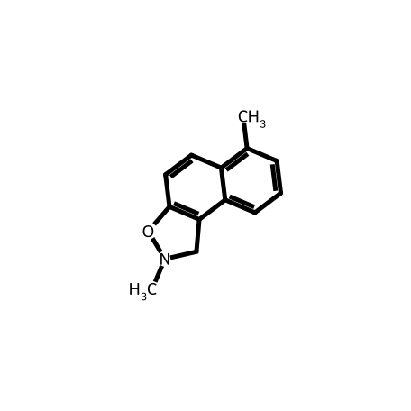 Cc1cccc2c3c(ccc12)ON(C)C3